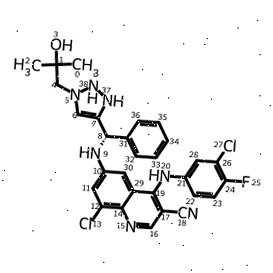 CC(C)(O)CN1C=C([C@@H](Nc2cc(Cl)c3ncc(C#N)c(Nc4ccc(F)c(Cl)c4)c3c2)c2ccccc2)NN1